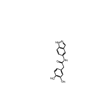 O=C(Cc1ccc(O)c(O)c1)Nc1ccc2[nH]ncc2c1